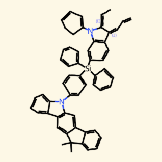 C=C/C=c1\c(=C/C)n(C2=CC=CCC2)c2cc([Si](c3ccccc3)(c3ccccc3)c3ccc(-n4c5ccccc5c5cc6c(cc54)-c4ccccc4C6(C)C)cc3)ccc12